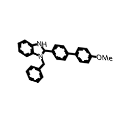 COc1ccc(-c2ccc(C3Nc4ccccc4N3Cc3ccccc3)cc2)cc1